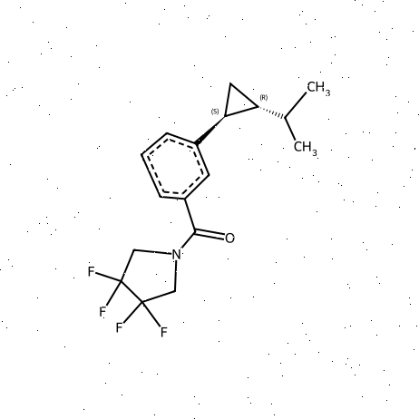 CC(C)[C@H]1C[C@@H]1c1cccc(C(=O)N2CC(F)(F)C(F)(F)C2)c1